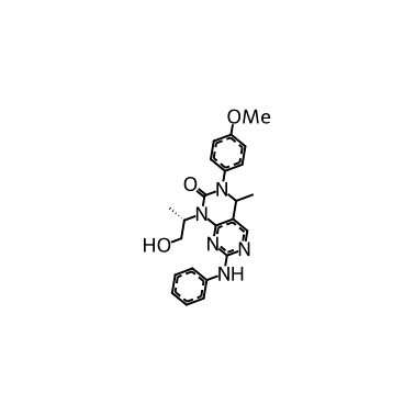 COc1ccc(N2C(=O)N([C@@H](C)CO)c3nc(Nc4ccccc4)ncc3C2C)cc1